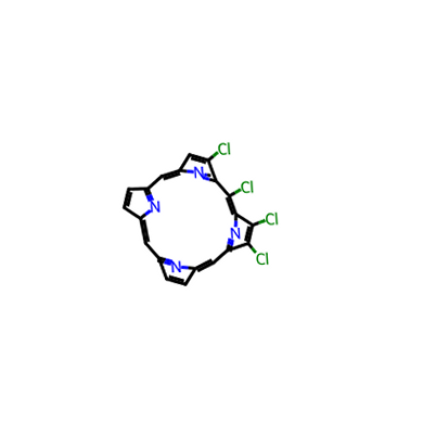 ClC1=CC2=CC3=NC(=CC4=NC(=CC5=NC(=C(Cl)C1=N2)C(Cl)=C5Cl)C=C4)C=C3